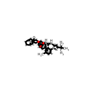 COc1ccc(OCC(=O)N2C3CCC2CC(Cc2cccc(NC(=O)Nc4cc(C(C)(C)C)nn4-c4ccc(C)cc4)c2)C3)cc1